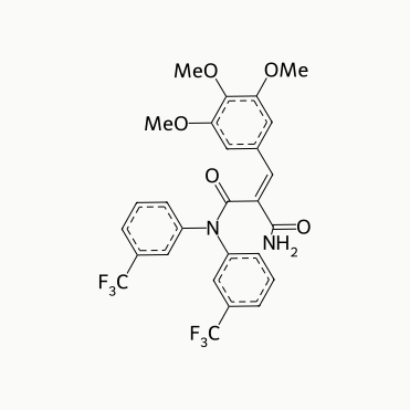 COc1cc(C=C(C(N)=O)C(=O)N(c2cccc(C(F)(F)F)c2)c2cccc(C(F)(F)F)c2)cc(OC)c1OC